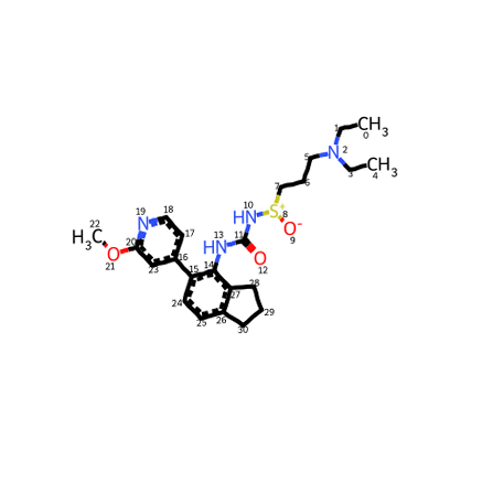 CCN(CC)CCC[S+]([O-])NC(=O)Nc1c(-c2ccnc(OC)c2)ccc2c1CCC2